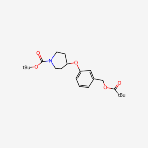 CC(C)(C)OC(=O)N1CCC(Oc2cccc(COC(=O)C(C)(C)C)c2)CC1